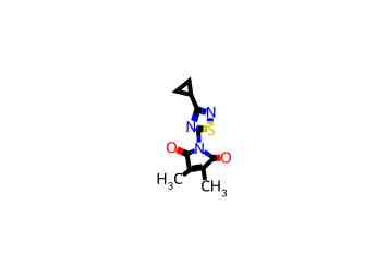 CC1=C(C)C(=O)N(c2nc(C3CC3)ns2)C1=O